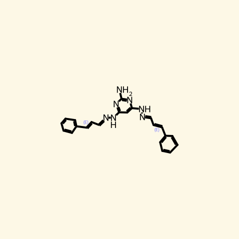 Nc1nc(NN=C/C=C/c2ccccc2)cc(NN=C/C=C/c2ccccc2)n1